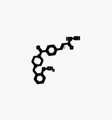 COc1ccccc1CN1CCN(C(=O)c2ccc(/C=C/C(=O)NO)cc2)CC1